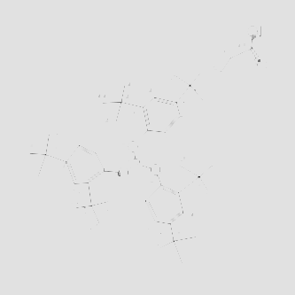 CC(C)(C)c1ccc(OP(Oc2ccc(C(C)(C)C)cc2C(C)(C)C)Oc2ccc(C(C)(C)C)cc2C(C)(C)C)c(C(C)(C)C)c1.CCC(=O)O